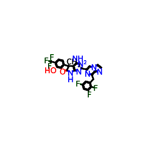 C[C@]1(c2ccc(C(F)(F)F)c(O)c2)C(=O)Nc2nc(-c3cn4ccnc4c(Cc4cc(F)cc(F)c4F)n3)nc(N)c21